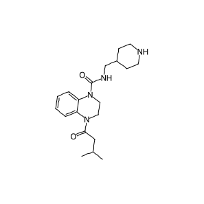 CC(C)CC(=O)N1CCN(C(=O)NCC2CCNCC2)c2ccccc21